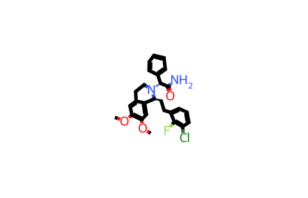 COc1cc2c(cc1OC)[C@H](CCc1cccc(Cl)c1F)N([C@@H](C(N)=O)c1ccccc1)CC2